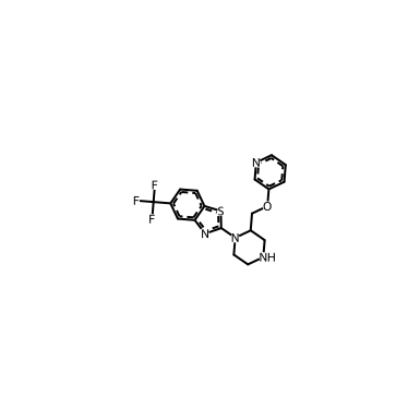 FC(F)(F)c1ccc2sc(N3CCNCC3COc3cccnc3)nc2c1